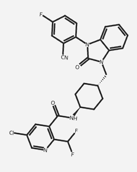 N#Cc1cc(F)ccc1-n1c(=O)n(C[C@H]2CC[C@H](NC(=O)c3cc(Cl)cnc3C(F)F)CC2)c2ccccc21